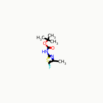 Cc1nc(NC(=O)OC(C)(C)C)sc1F